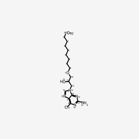 CCCCCCCCCCCCCCCCCCOCC(O)Cn1cnc2c(Cl)nc(N)nc21